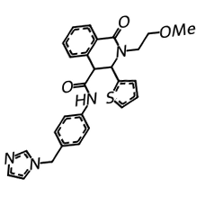 COCCN1C(=O)c2ccccc2C(C(=O)Nc2ccc(Cn3ccnc3)cc2)C1c1cccs1